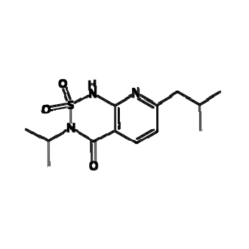 CC(C)Cc1ccc2c(n1)NS(=O)(=O)N(C(C)C)C2=O